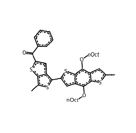 CCCCCCCCOc1c2cc(-c3sc(C)c4sc(C(=O)c5ccccc5)cc34)sc2c(OCCCCCCCC)c2cc(C)sc12